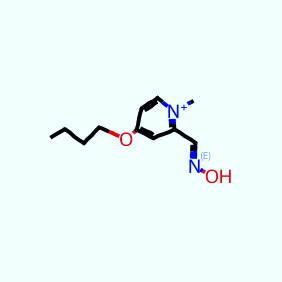 CCCCOc1cc[n+](C)c(/C=N/O)c1